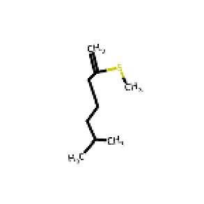 C=C(CCCC(C)C)SC